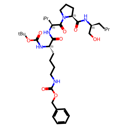 CC(C)C[C@@H](CO)NC(=O)[C@@H]1CCCN1C(=O)[C@@H](NC(=O)[C@H](CCCCNC(=O)OCc1ccccc1)NC(=O)OC(C)(C)C)C(C)C